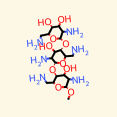 CO[C@H]1OC(CN)[C@@H](O[C@H]2OC(CN)[C@@H](O[C@H]3OC(CN)[C@@H](O)C(O)C3N)C(O)C2N)C(O)C1N